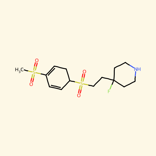 CS(=O)(=O)C1=CCC(S(=O)(=O)CCC2(F)CCNCC2)C=C1